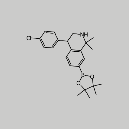 CC1(C)NCC(c2ccc(Cl)cc2)c2ccc(B3OC(C)(C)C(C)(C)O3)cc21